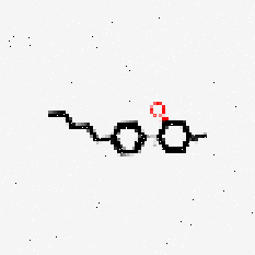 CCCCCc1ccc([C@H]2CC[C@H](C)CC2=O)cc1